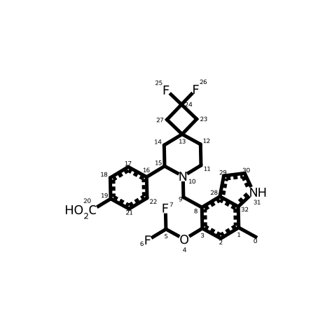 Cc1cc(OC(F)F)c(CN2CCC3(CC2c2ccc(C(=O)O)cc2)CC(F)(F)C3)c2cc[nH]c12